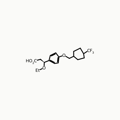 CCO[C@@H](CC(=O)O)c1ccc(OCC2CCC(C(F)(F)F)CC2)cc1